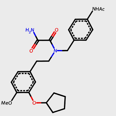 COc1ccc(CCN(Cc2ccc(NC(C)=O)cc2)C(=O)C(N)=O)cc1OC1CCCC1